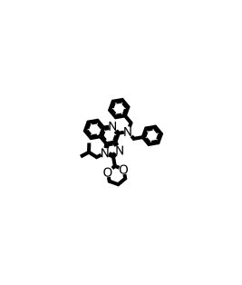 CC(C)Cn1c(C2OCCCO2)nc2c(N(Cc3ccccc3)Cc3ccccc3)nc3ccccc3c21